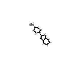 CC(C)(C)c1ccc(-c2cc3ccccc3s2)cc1